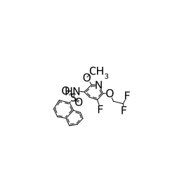 COc1nc(OCC(F)F)c(F)cc1NS(=O)(=O)c1cccc2ccccc12